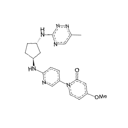 COc1ccn(-c2ccc(N[C@H]3CC[C@H](Nc4ncc(C)nn4)C3)nc2)c(=O)c1